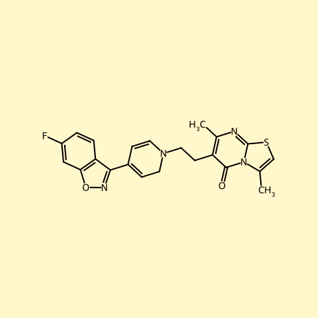 Cc1nc2scc(C)n2c(=O)c1CCN1C=CC(c2noc3cc(F)ccc23)=CC1